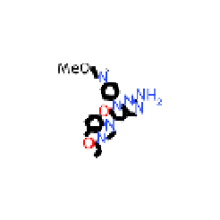 C=CC(=O)N1CCN(c2cc3cnc(N)nc3n(-c3ccc(N(C)CCOC)cc3)c2=O)c2cccc(C)c21